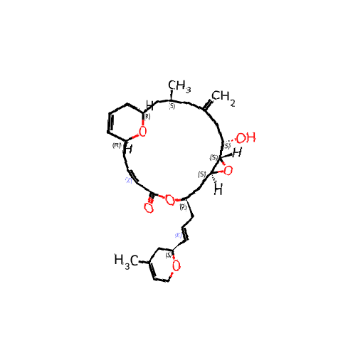 C=C1C[C@H](C)C[C@@H]2CC=C[C@@H](C/C=C\C(=O)O[C@H](C/C=C/[C@@H]3CC(C)=CCO3)C[C@@H]3O[C@H]3[C@@H](O)C1)O2